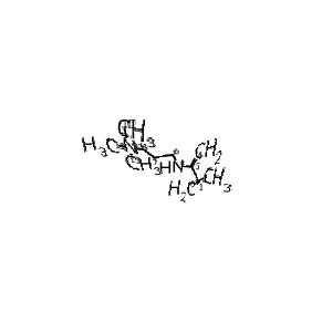 C=C(C)C(=C)NCCC[N+](C)(C)C